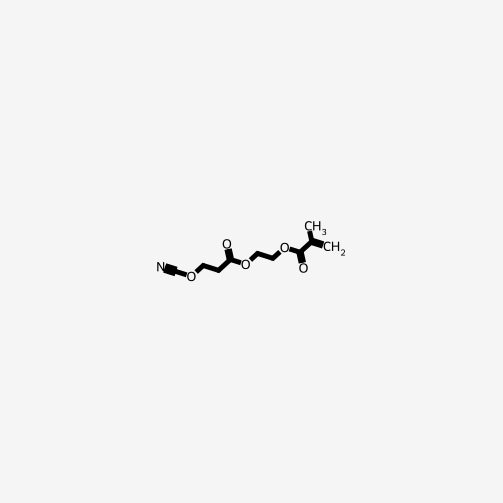 C=C(C)C(=O)OCCOC(=O)CCOC#N